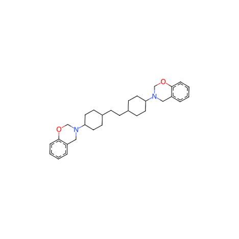 c1ccc2c(c1)CN(C1CCC(CCC3CCC(N4COc5ccccc5C4)CC3)CC1)CO2